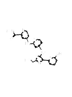 CCc1nc(-c2cccc(C)n2)c(Oc2ccnc(Nc3ccnc(C(N)=O)c3)c2)s1